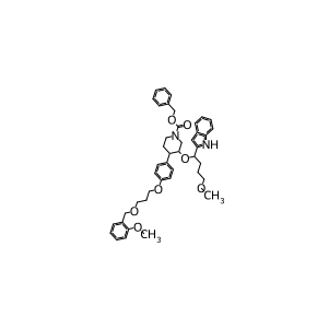 COCCCC(OC1CN(C(=O)OCc2ccccc2)CCC1c1ccc(OCCCOCc2ccccc2OC)cc1)c1cc2ccccc2[nH]1